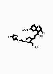 COc1ccc2ncc(Cl)c(C(O)CCC3CCN(CCSc4cc(F)cs4)CC3CC(=O)O)c2c1